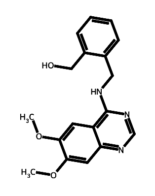 COc1cc2ncnc(NCc3ccccc3CO)c2cc1OC